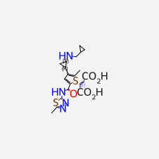 Cc1nnc(NC(=O)c2cc([C@H]3C[C@@H]3NCC3CC3)c(C)s2)s1.O=C(O)/C=C/C(=O)O